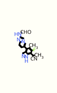 Cc1c(F)c(C(C)C#N)c2[nH]ncc2c1-c1ccc2nc(NC=O)cn2c1